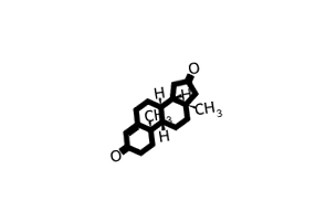 C[C@]12CC[C@H]3[C@@H](CCC4=CC(=O)CC[C@@]43C)[C@@H]1CC(=O)C2